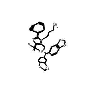 CCCCn1c(-c2ccccc2)nc(C(F)(F)F)c1CNC(c1ccc2c(c1)OCO2)c1ccc2c(c1)OCO2